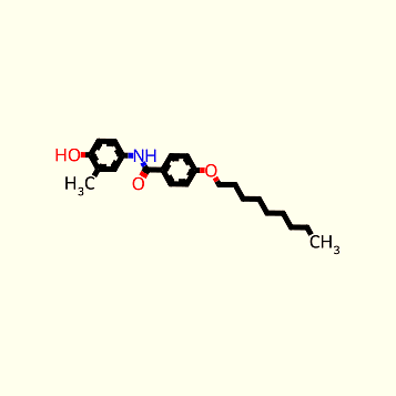 CCCCCCCCCOc1ccc(C(=O)Nc2ccc(O)c(C)c2)cc1